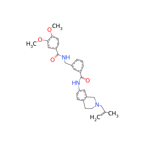 C=C(C)CN1CCc2ccc(NC(=O)c3cccc(CNC(=O)c4ccc(OC)c(OC)c4)c3)cc2C1